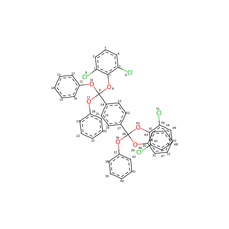 Clc1cccc(Cl)c1OC(Oc1ccccc1)(Oc1ccccc1)c1ccc(C(Oc2ccccc2)(Oc2ccccc2)Oc2c(Cl)cccc2Cl)cc1